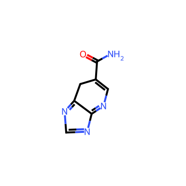 NC(=O)C1=CN=C2N=CN=C2C1